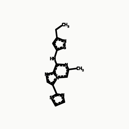 CCc1cc(Nc2nc(C)cn3c(-c4nccs4)cnc23)sn1